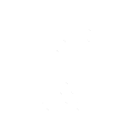 CCNC(=O)c1nc(OCC2(C#N)CC2)nc(N2CCC(COc3cc(-c4cn(C)cn4)cnc3N)CC2)n1